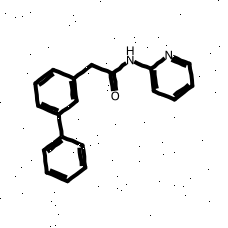 O=C(Cc1cccc(-c2ccccc2)c1)Nc1ccccn1